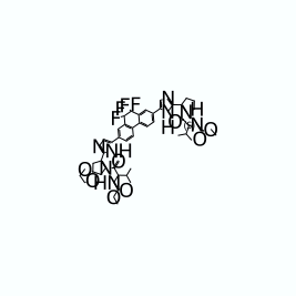 COC(=O)NC(C(=O)N1CC2(CC1c1ncc(-c3ccc4c(c3)C(F)(F)C(F)(F)c3cc(-c5cnc(C6CCCN6C(=O)[C@@H](NC(=O)OC)C(C)C)[nH]5)ccc3-4)[nH]1)OCCO2)C(C)C